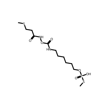 CSCCC(=O)NOC(=O)NCCCCCCOP(=O)(O)SC